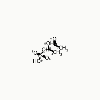 CC=O.CCO.O=S(=O)(O)O